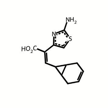 Nc1nc(C(=CC2C3CC=CCC23)C(=O)O)cs1